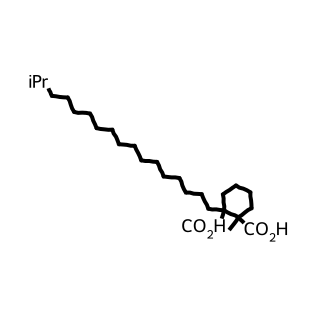 CC(C)CCCCCCCCCCCCCCCC1(C(=O)O)CCCCC1(C)C(=O)O